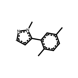 Cc1ccc(C)c(-c2c[c]nn2C)c1